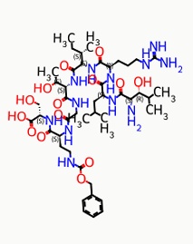 CC[C@H](C)[C@H](NC(=O)[C@@H](CCCNC(=N)N)NC(=O)[C@H](CC(C)C)NC(=O)[C@@H](N)[C@H](O)C(C)C)C(=O)N[C@H](C(=O)NCC(=O)N[C@@H](CCNC(=O)OCc1ccccc1)C(=O)N[C@@H](CO)C(=O)O)[C@H](C)O